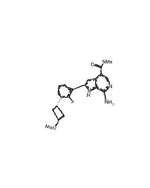 CNC(=O)c1cnc(N)c2[nH]c(-c3cccc([C@H]4C[C@H](OC)C4)c3F)cc12